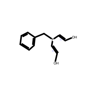 O/C=C/P(/C=C/O)Cc1ccccc1